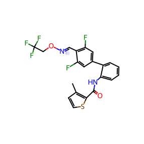 Cc1ccsc1C(=O)Nc1ccccc1-c1cc(F)c(/C=N/OCC(F)(F)F)c(F)c1